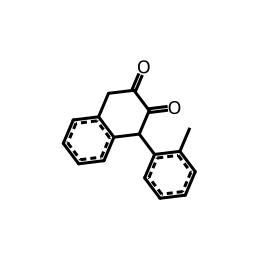 Cc1ccccc1C1C(=O)C(=O)Cc2ccccc21